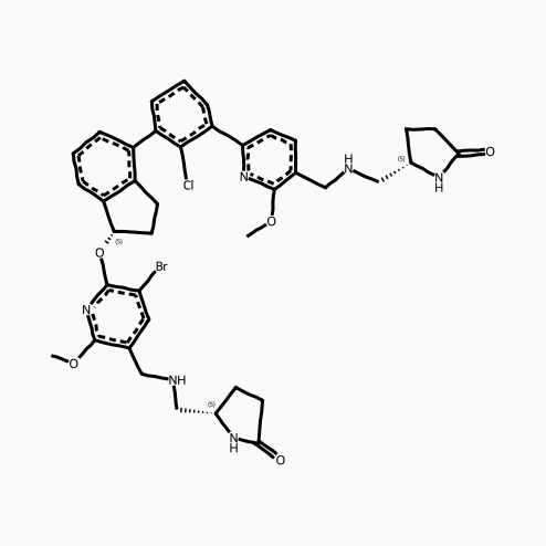 COc1nc(-c2cccc(-c3cccc4c3CC[C@@H]4Oc3nc(OC)c(CNC[C@@H]4CCC(=O)N4)cc3Br)c2Cl)ccc1CNC[C@@H]1CCC(=O)N1